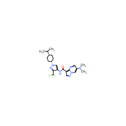 CC(C)[C@H]1CC[C@H](n2cc(NC(=O)c3cnn4cc(N(C)C)cnc34)c(C(F)F)n2)CC1